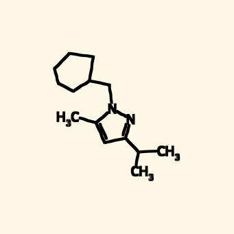 Cc1cc(C(C)C)nn1CC1CCCCC1